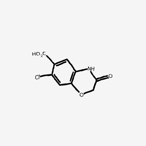 O=C1COc2cc(Cl)c(C(=O)O)cc2N1